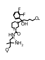 COCCCC[C@@](O)(c1cccc(F)c1F)[C@@H]1CCCN(C(=O)N[C@H](CN)CC(C)(C)COC)C1